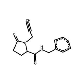 C#CCN1C(=O)CCC1C(=O)NCc1ccccc1